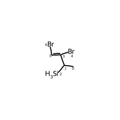 CC([SiH3])C(Br)=CBr